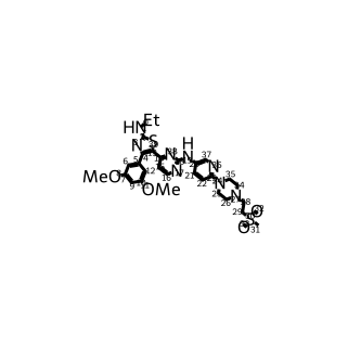 CCNc1nc(-c2cc(OC)cc(OC)c2)c(-c2ccnc(Nc3ccc(N4CCN(CCS(C)(=O)=O)CC4)nc3)n2)s1